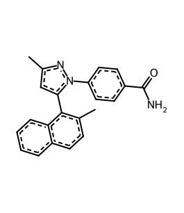 Cc1cc(-c2c(C)ccc3ccccc23)n(-c2ccc(C(N)=O)cc2)n1